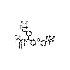 O[C@H](CNC(c1cccc(Oc2cccc(C(F)(F)C(F)(F)F)c2)c1)c1cccc(OC(F)(F)C(F)F)c1)C(F)(F)F